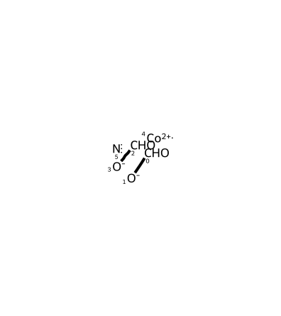 O=C[O-].O=C[O-].[Co+2].[N]